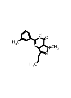 CCCC1=NN(C)C2C(=O)NC(c3cccc(C)c3)=NC12